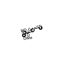 COc1ccc2nccc(C(=O)CC[C@H]3CCN(CCSc4ccccn4)C[C@H]3C(=O)O)c2c1